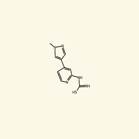 Cn1cc(-c2ccnc(NC(=N)S)c2)cn1